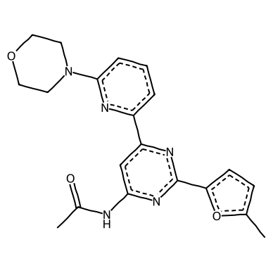 CC(=O)Nc1cc(-c2cccc(N3CCOCC3)n2)nc(-c2ccc(C)o2)n1